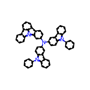 c1ccc(-n2c3ccccc3c3cc(N(c4ccc5c(c4)c4ccccc4n5-c4ccccc4)c4ccc5c6cccc7c8ccccc8n(c5c4)c76)ccc32)cc1